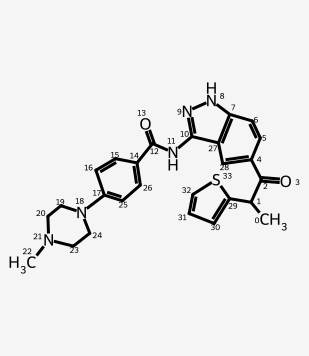 CC(C(=O)c1ccc2[nH]nc(NC(=O)c3ccc(N4CCN(C)CC4)cc3)c2c1)c1cccs1